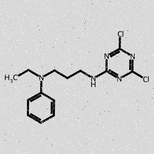 CCN(CCCNc1nc(Cl)nc(Cl)n1)c1ccccc1